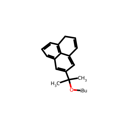 CCC(C)OC(C)(C)c1cc2c3c(cccc3c1)CC=C2